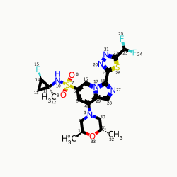 C[C@H]1CN(c2cc(S(=O)(=O)N[C@@]3(C)C[C@H]3F)cn3c(-c4nnc(C(F)F)s4)ncc23)C[C@H](C)O1